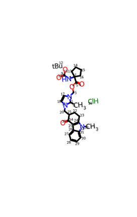 CC1N(COC(=O)C2(NC(=O)OC(C)(C)C)CCCC2)C=CN1CC1CCc2c(c3ccccc3n2C)C1=O.Cl